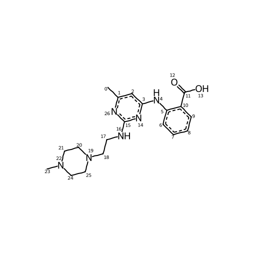 Cc1cc(Nc2ccccc2C(=O)O)nc(NCCN2CCN(C)CC2)n1